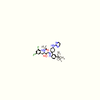 CC(=O)NC(Cc1cc(F)cc(F)c1)C(O)CNC1(c2cccc(C(C)(C)C)c2)CCC(Nc2ncccn2)CC1